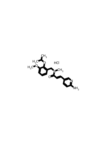 COc1cccc(CN(C)C(=O)/C=C/c2ccc(N)nc2)c1OC(C)C.Cl